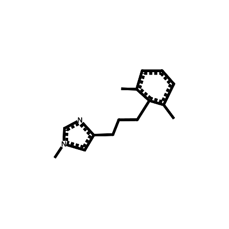 Cc1cccc(C)c1CCCc1cn(C)cn1